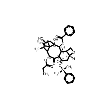 CCC(=O)O[C@H]1C(=O)[C@]2(C)[C@@H](O[Si](C)(C)c3ccccc3)C[C@H]3OCC3[C@H]2[C@H](OC(=O)c2ccccc2)[C@]2(O)C[C@H](O)C(C)C1C2(C)CC